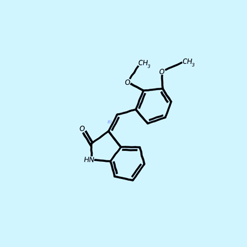 COc1cccc(/C=C2/C(=O)Nc3ccccc32)c1OC